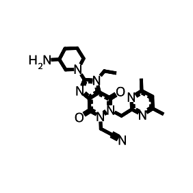 CCn1c(N2CCCC(N)C2)nc2c(=O)n(CC#N)n(Cc3nc(C)cc(C)n3)c(=O)c21